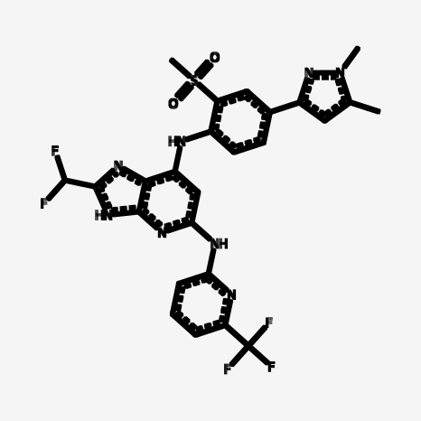 Cc1cc(-c2ccc(Nc3cc(Nc4cccc(C(F)(F)F)n4)nc4[nH]c(C(F)F)nc34)c(S(C)(=O)=O)c2)nn1C